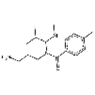 CNC(C(C)C)N(CCCN)C(=O)c1ccc(C)cc1